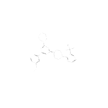 CSc1cccc(-c2cc(N3CCN(c4ncccc4C(F)(F)F)C[C@H]3C)nc(N3CCOCC3)n2)c1